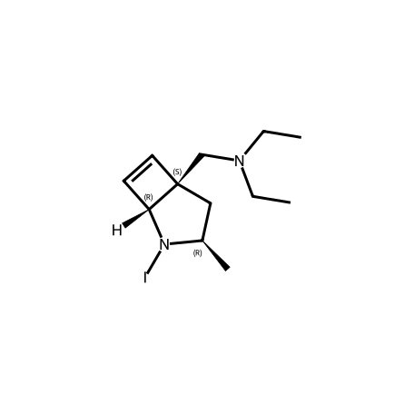 CCN(CC)C[C@]12C=C[C@H]1N(I)[C@H](C)C2